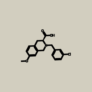 COc1ccc2c(c1)CN(Cc1cccc(Cl)c1)[C@H](C(=O)O)C2